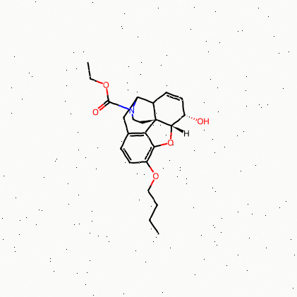 CCCCOc1ccc2c3c1O[C@H]1[C@@H](O)C=CC4C(C2)N(C(=O)OCC)CC[C@@]341